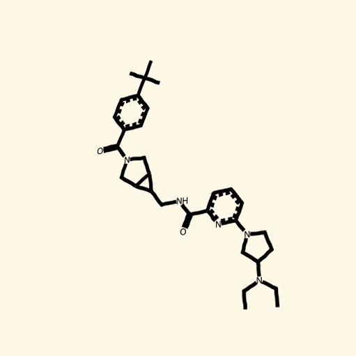 CCN(CC)C1CCN(c2cc[c]c(C(=O)NCC3C4CN(C(=O)c5ccc(C(C)(C)C)cc5)CC34)n2)C1